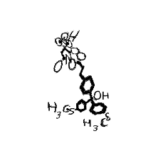 CSc1ccc(C(O)(c2ccc(CCC(=O)ON3C(=O)CC(S(=O)(=O)O)C3=O)cc2)c2ccc(SC)cc2)cc1